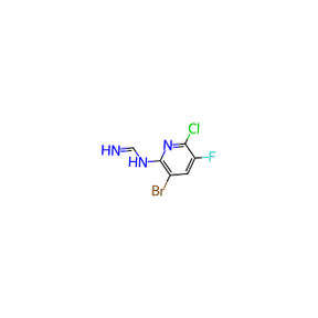 N=CNc1nc(Cl)c(F)cc1Br